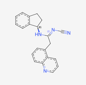 N#C/N=C(\Cc1cccc2ncccc12)N[C@@H]1CCc2ccccc21